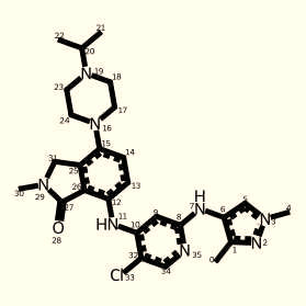 Cc1nn(C)cc1Nc1cc(Nc2ccc(N3CCN(C(C)C)CC3)c3c2C(=O)N(C)C3)c(Cl)cn1